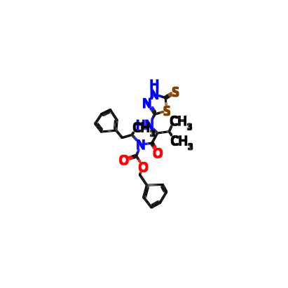 CC(C)C(Nc1n[nH]c(=S)s1)C(=O)N(C(=O)OCc1ccccc1)C(C)Cc1ccccc1